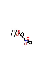 COC(OC)c1cccc(CCCN2C(=O)c3ccccc3C2=O)c1